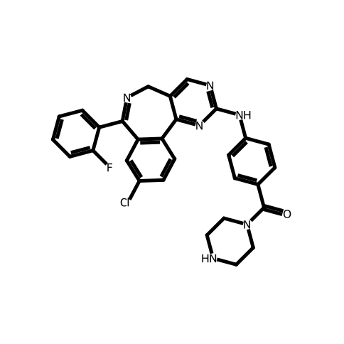 O=C(c1ccc(Nc2ncc3c(n2)-c2ccc(Cl)cc2C(c2ccccc2F)=NC3)cc1)N1CCNCC1